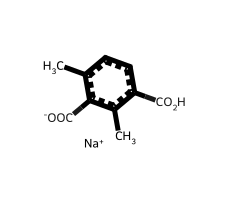 Cc1ccc(C(=O)O)c(C)c1C(=O)[O-].[Na+]